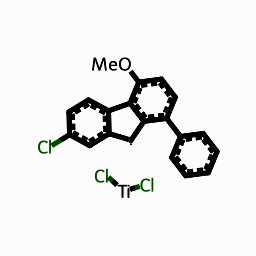 COc1ccc(-c2ccccc2)c2c1-c1ccc(Cl)cc1[CH]2.[Cl][Ti][Cl]